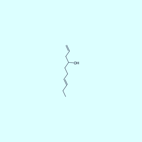 C=CCC(O)CCC=CCC